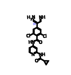 N=C/C(=C\N)c1cc(Cl)c(C(=O)Nc2ccnc(NC(=O)C3CC3)c2)c(Cl)c1